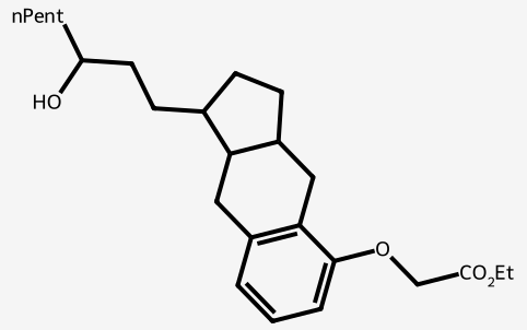 CCCCCC(O)CCC1CCC2Cc3c(cccc3OCC(=O)OCC)CC12